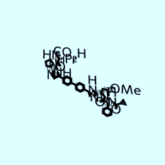 COC[C@H]1C[C@@H](c2ncc(-c3ccc(-c4ccc(-c5cnc([C@@H]6CCCN6C(=O)[C@@H](NC(=O)O)C(C)C)[nH]5)cc4)cc3)[nH]2)N(C(=O)[C@H](NC(=O)C2CC2)c2ccccc2)C1